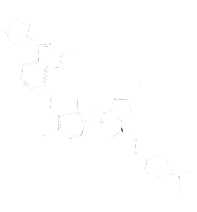 Cc1cc(-n2ccnc2)c2cccc(OCc3c(Cl)ccc(S(=O)(=O)N4C[C@H](O)C[C@H]4C(=O)NCC4CCN(C(=O)O)CC4)c3Cl)c2n1